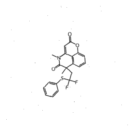 CN1C(=O)C(C)(CC(F)(F)Sc2ccccc2)c2cccc3oc(=O)cc1c23